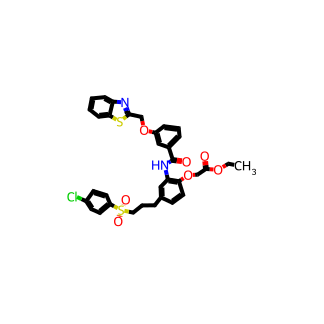 CCOC(=O)COc1ccc(CCCS(=O)(=O)c2ccc(Cl)cc2)cc1NC(=O)c1cccc(OCc2nc3ccccc3s2)c1